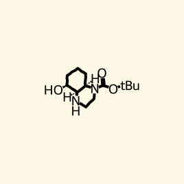 CC(C)(C)OC(=O)N1CCN[C@@H]2[C@H]1CCC[C@@H]2O